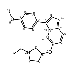 CCN1CCC(Oc2ccc3ncc(-c4ccc(OC)cc4)n3n2)C1